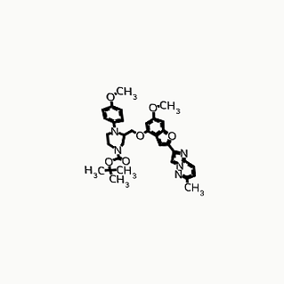 COc1ccc(N2CCN(C(=O)OC(C)(C)C)CC2COc2cc(OC)cc3oc(-c4cn5nc(C)ccc5n4)cc23)cc1